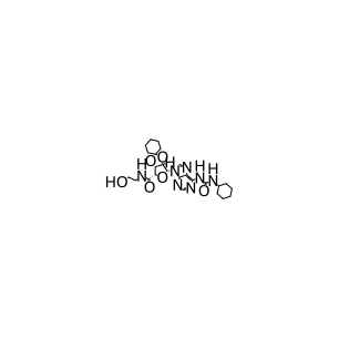 O=C(Nc1ncnc2c1ncn2[C@@H]1O[C@H](C(=O)NCCO)C2OC3(CCCCC3)O[C@@H]21)NC1CCCCC1